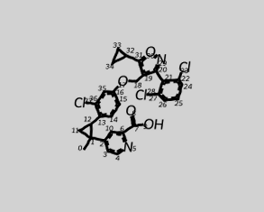 CC1(c2ccnc(C(=O)O)c2)CC1c1ccc(OCc2c(-c3c(Cl)cccc3Cl)noc2C2CC2)cc1Cl